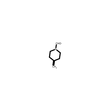 C=C1CCN([C]=O)CC1